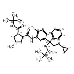 C[C@H]1C[C@H](C(=O)Nc2cc(C(CCC3CC3)(N[S@+]([O-])C(C)(C)C)c3ccncc3)ccc2F)N(C(=O)OC(C)(C)C)C1